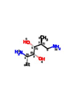 CC[C@H](N)[C@@H](O)[C@H](O)[C@@H](C)CN